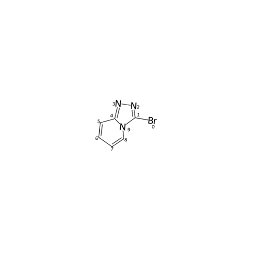 Brc1nnc2ccccn12